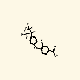 COC(=O)c1cnc(Oc2ccc(C(F)(C(F)(F)F)C(F)(F)F)cc2)c(F)c1